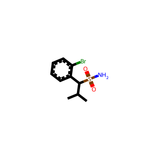 CC(C)C(c1ccccc1Br)S(N)(=O)=O